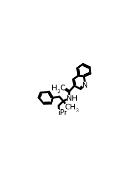 C=C(NC(C)(Cc1ccccc1)CC(C)C)c1cnc2ccccc2c1